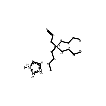 C=CC[N+](CCCC)(CCCC)CCCC.c1c[nH]nn1